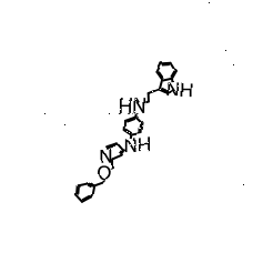 c1ccc(COCc2cc(Nc3ccc(NCCc4c[nH]c5ccccc45)cc3)ccn2)cc1